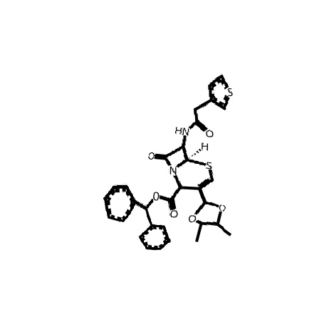 CC1OC(C2=CS[C@@H]3C(NC(=O)Cc4ccsc4)C(=O)N3C2C(=O)OC(c2ccccc2)c2ccccc2)OC1C